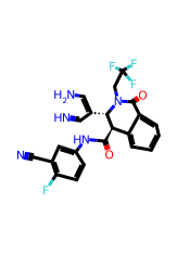 N#Cc1cc(NC(=O)[C@@H]2c3ccccc3C(=O)N(CC(F)(F)F)[C@H]2/C(C=N)=C/N)ccc1F